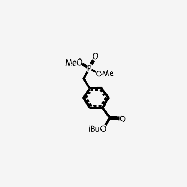 COP(=O)(Cc1ccc(C(=O)OCC(C)C)cc1)OC